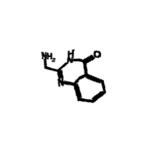 NCc1nc2ccccc2c(=O)[nH]1